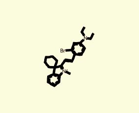 CCN(CC)c1ccc(/C=C/C2=[N+](C)c3ccccc3C23CCCCC3)c(Br)c1